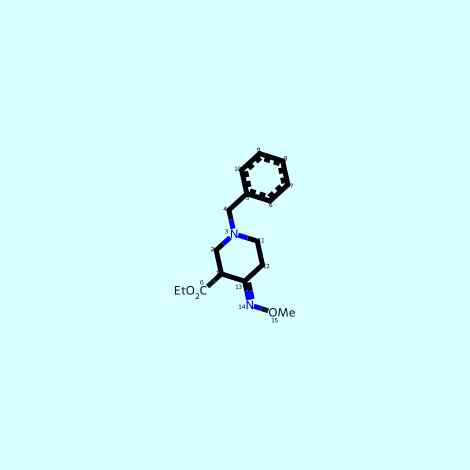 CCOC(=O)C1CN(Cc2ccccc2)CCC1=NOC